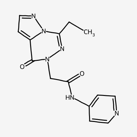 CCc1nn(CC(=O)Nc2ccncc2)c(=O)c2ccnn12